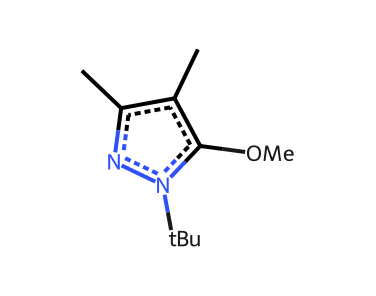 COc1c(C)c(C)nn1C(C)(C)C